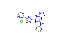 CN(c1ccccc1)c1nc(N)nc(-c2noc(-c3cccnc3Cl)n2)n1